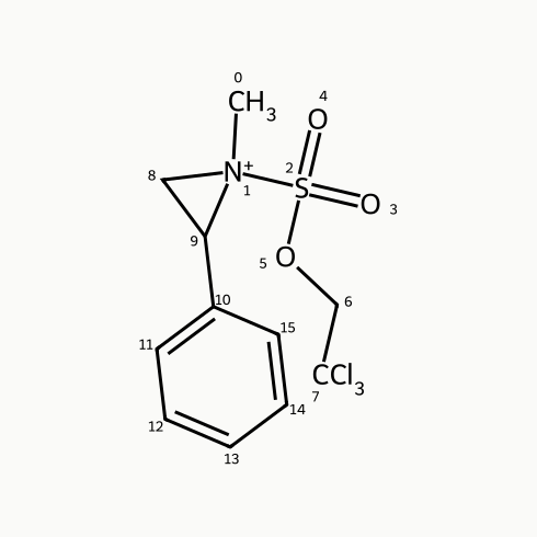 C[N+]1(S(=O)(=O)OCC(Cl)(Cl)Cl)CC1c1ccccc1